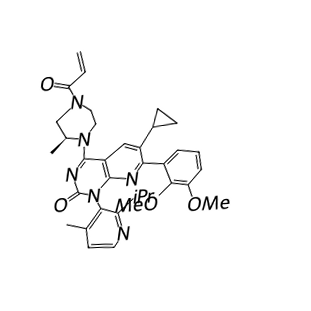 C=CC(=O)N1CCN(c2nc(=O)n(-c3c(C)ccnc3C(C)C)c3nc(-c4cccc(OC)c4OC)c(C4CC4)cc23)[C@@H](C)C1